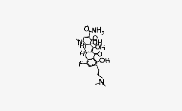 CN(C)CCCc1cc(F)c2c(c1O)C(=O)C1=C(O)[C@]3(O)C(=O)C(C(N)=O)=C[C@@H](N(C)C)[C@@H]3C[C@@H]1C2